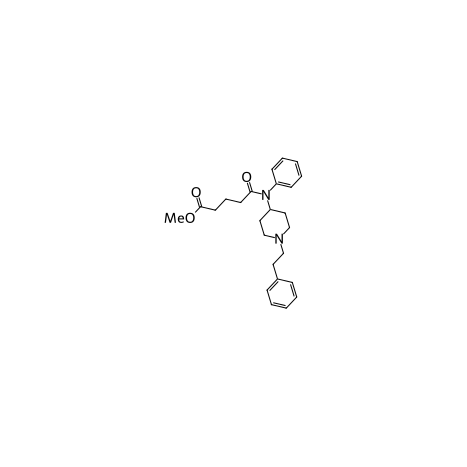 COC(=O)CCCC(=O)N(c1ccccc1)C1CCN(CCc2ccccc2)CC1